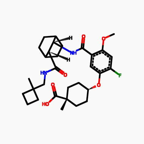 COc1cc(F)c(O[C@H]2CC[C@@](C)(C(=O)O)CC2)cc1C(=O)N[C@@H]1C2CCC(CC2)[C@@H]1C(=O)NCC1(C)CCC1